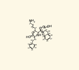 NCCSCC[C@H](NC(CCc1ccccc1)C(=O)O)C(=O)N1Cc2ccccc2C[C@H]1C(=O)O